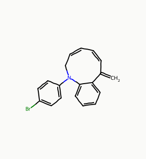 C=C1/C=C\C=C/CN(c2ccc(Br)cc2)c2ccccc21